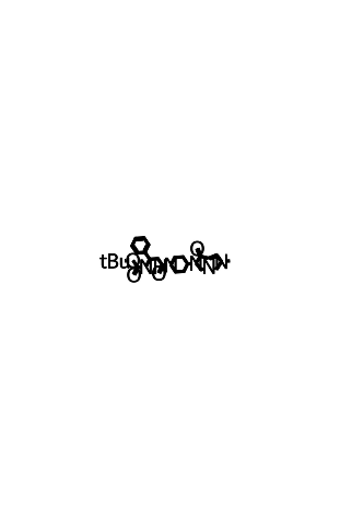 CN1C=C2C(=O)N(C3CCN(C(=O)CC(NC(=O)OC(C)(C)C)c4ccccc4)CC3)CN2C1